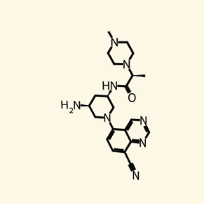 C[C@@H](C(=O)N[C@@H]1C[C@H](N)CN(c2ccc(C#N)c3ncncc23)C1)N1CCN(C)CC1